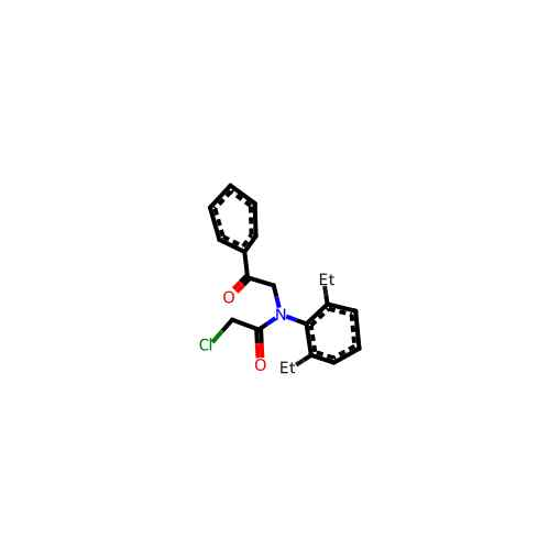 CCc1cccc(CC)c1N(CC(=O)c1ccccc1)C(=O)CCl